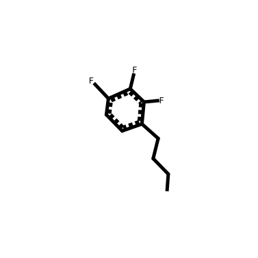 CCCCc1ccc(F)c(F)c1F